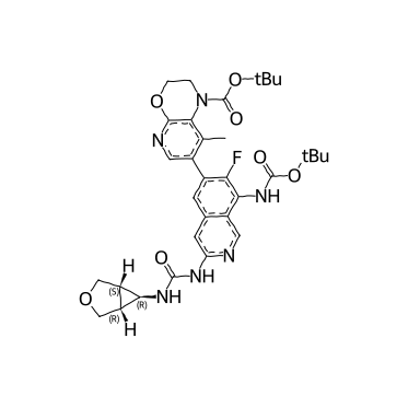 Cc1c(-c2cc3cc(NC(=O)N[C@H]4[C@@H]5COC[C@@H]54)ncc3c(NC(=O)OC(C)(C)C)c2F)cnc2c1N(C(=O)OC(C)(C)C)CCO2